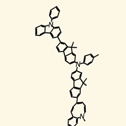 Cc1ccc(N(c2ccc3c(c2)C(C)(C)c2cc(-c4cccn(C)c5ccccc5cc4)ccc2-3)c2ccc3c(c2)C(C)(C)c2cc(-c4ccc5c(c4)c4ccccc4n5-c4ccccc4)ccc2-3)cc1